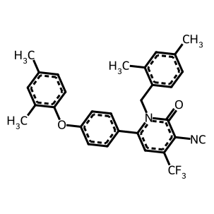 [C-]#[N+]c1c(C(F)(F)F)cc(-c2ccc(Oc3ccc(C)cc3C)cc2)n(Cc2ccc(C)cc2C)c1=O